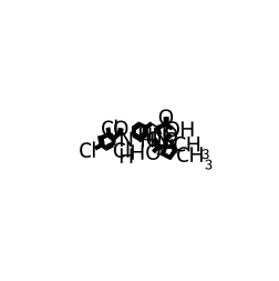 CC1CCC(C(=O)O)(C(=O)N[C@@H](Cc2ccc(NC(=O)c3c(Cl)cc(Cl)cc3Cl)cc2)C(=O)O)C1(C)C